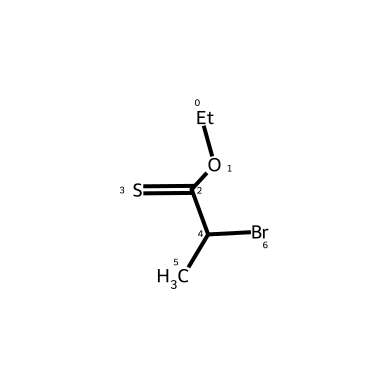 CCOC(=S)C(C)Br